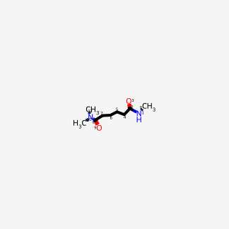 CNC(=O)CCCCC(=O)N(C)C